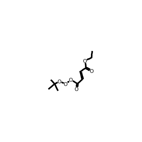 CCOC(=O)C=CC(=O)OOOC(C)(C)C